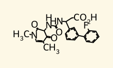 CC1=CN(C)C(=O)C(NC(=O)NC(CC(=O)O)c2cccc(-c3ccccc3F)c2)C1=O